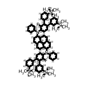 C[Si](C)(C)c1cccc(-c2ccc(N(c3ccccc3)c3ccc4ccc5c(N(c6ccccc6)c6ccc(-c7cccc([Si](C)(C)C)c7)c(-c7cccc([Si](C)(C)C)c7)c6F)ccc6ccc3c4c65)c(F)c2-c2cccc([Si](C)(C)C)c2)c1